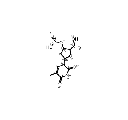 Cc1cn([C@H]2C[C@@H](O[PH](=O)O)C([C@@H](C)O)O2)c(=O)[nH]c1=O